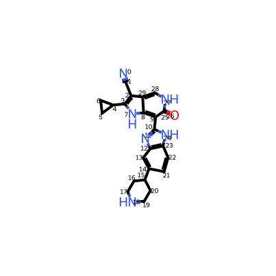 N#Cc1c(C2CC2)[nH]c2c(-c3nc4cc(C5CCNCC5)ccc4[nH]3)c(=O)[nH]cc12